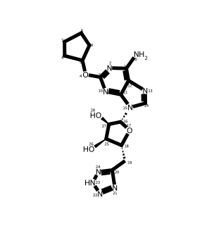 Nc1nc(OC2CCCC2)nc2c1ncn2[C@@H]1O[C@H](Cc2nn[nH]n2)[C@@H](O)[C@H]1O